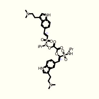 CC(C)NS(=O)(=O)/C(=C/c1ccc2[nH]cc(CCN(C)C)c2c1)OC(=O)C(=O)ON(C(C)C)S(=O)(=O)/C=C/c1ccc2[nH]cc(CCN(C)C)c2c1